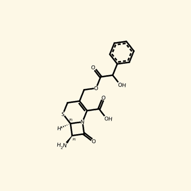 N[C@@H]1C(=O)N2C(C(=O)O)=C(COC(=O)C(O)c3ccccc3)CS[C@H]12